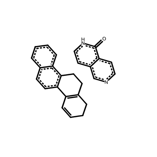 C1=CC2=C(CC1)CCc1c2ccc2ccccc12.O=c1[nH]ccc2cnccc12